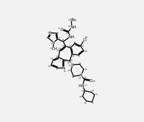 Cn1cncc1C(NC(=O)NC(C)(C)C)C1=Cc2cccnc2[C@@H](N2CCN(C(=O)NC3CCCCC3)CC2)c2ccc(Cl)cc21